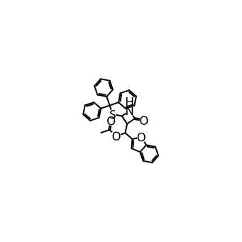 CC(=O)OC(c1cc2ccccc2o1)C1C(=O)NC1SC(c1ccccc1)(c1ccccc1)c1ccccc1